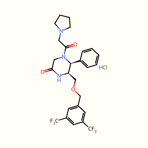 Cl.O=C1CN(C(=O)CN2CCCC2)[C@@H](c2ccccc2)[C@@H](COCc2cc(C(F)(F)F)cc(C(F)(F)F)c2)N1